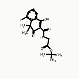 CC(C)(C)OC(=O)CNC(=O)C1=C(O)c2cccc(F)c2C(C)(C)C1=O